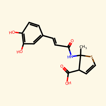 CC1(NC(=O)/C=C/c2ccc(O)c(O)c2)SC=CC1C(=O)O